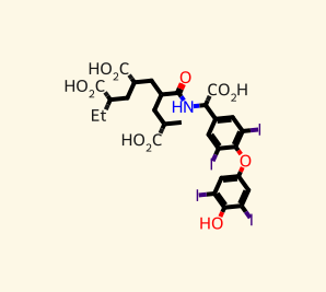 CCC(CC(CC(CC(C)C(=O)O)C(=O)NC(C(=O)O)c1cc(I)c(Oc2cc(I)c(O)c(I)c2)c(I)c1)C(=O)O)C(=O)O